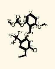 CCc1cc(C(F)(F)F)c(OCc2c(OC)cccc2OC(=O)OC)cc1Cl